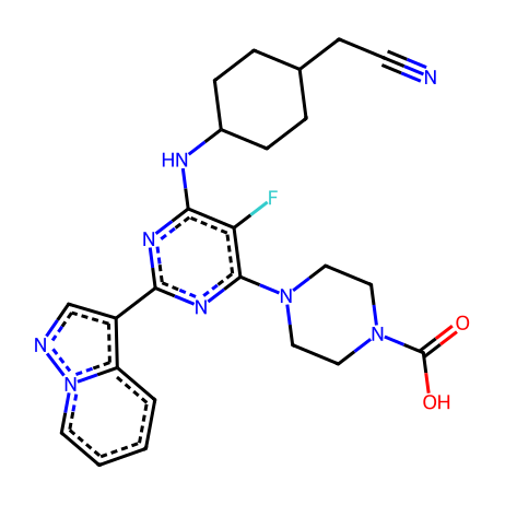 N#CCC1CCC(Nc2nc(-c3cnn4ccccc34)nc(N3CCN(C(=O)O)CC3)c2F)CC1